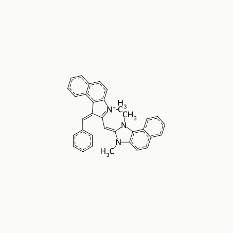 CN1/C(=C/C2=[N+](C)c3ccc4ccccc4c3/C2=C/c2ccccc2)N(C)c2c1ccc1ccccc21